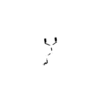 O=CNNN(C=O)C=O